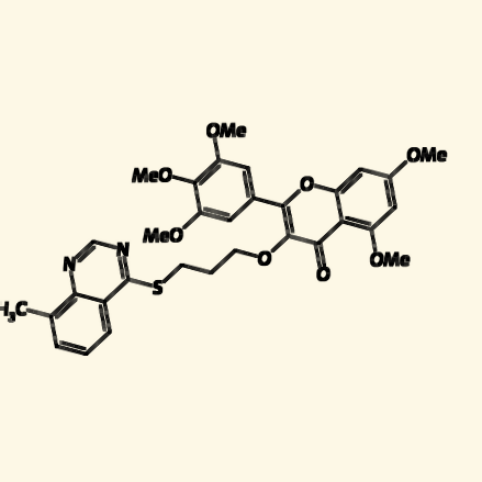 COc1cc(OC)c2c(=O)c(OCCCSc3ncnc4c(C)cccc34)c(-c3cc(OC)c(OC)c(OC)c3)oc2c1